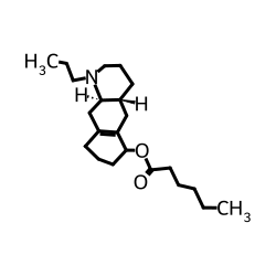 CCCCCC(=O)OC1CCCC2=C1C[C@H]1CCCN(CCC)[C@@H]1C2